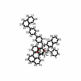 CC1(C)c2ccccc2-c2c1c(N(c1ccc(-c3ccc(-c4cccc5ccccc45)cc3)cc1)c1ccc(-c3cccc4cccc(-c5ccccc5)c34)cc1)cc1ccccc21